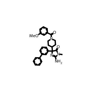 COc1cccc(C(=O)N2CCC(C3(c4cccc(-c5ccccc5)c4)N=C(N)N(C)C3=O)CC2)c1